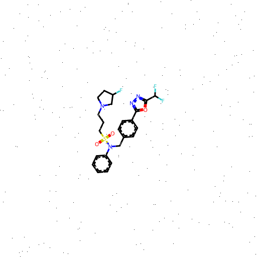 O=S(=O)(CCCN1CCC(F)C1)N(Cc1ccc(-c2nnc(C(F)F)o2)cc1)c1ccccc1